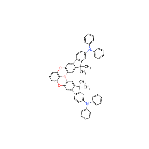 CC1(C)c2cc(N(c3ccccc3)c3ccccc3)ccc2-c2cc3c(cc21)B1c2cc4c(cc2Oc2cccc(c21)O3)-c1ccc(N(c2ccccc2)c2ccccc2)cc1C4(C)C